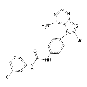 Nc1ncnc2sc(Br)c(-c3ccc(NC(=O)Nc4cccc(Cl)c4)cc3)c12